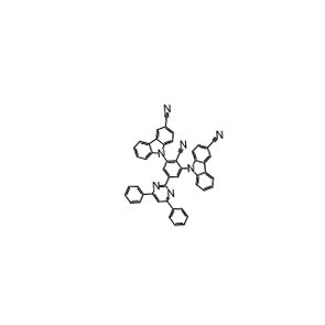 N#Cc1ccc2c(c1)c1ccccc1n2-c1cc(-c2nc(-c3ccccc3)cc(-c3ccccc3)n2)cc(-n2c3ccccc3c3cc(C#N)ccc32)c1C#N